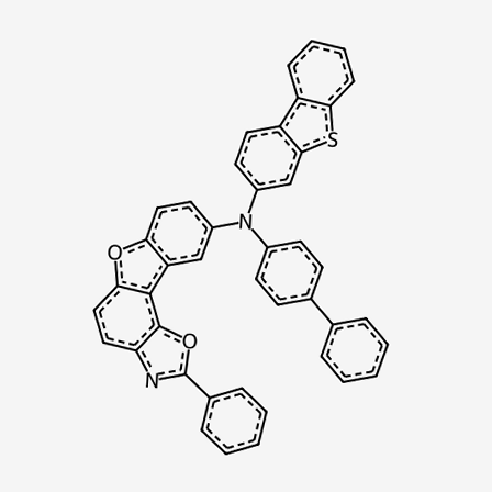 c1ccc(-c2ccc(N(c3ccc4c(c3)sc3ccccc34)c3ccc4oc5ccc6nc(-c7ccccc7)oc6c5c4c3)cc2)cc1